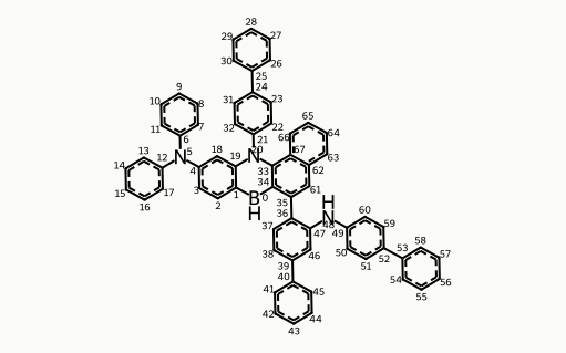 B1c2ccc(N(c3ccccc3)c3ccccc3)cc2N(c2ccc(-c3ccccc3)cc2)c2c1c(-c1ccc(-c3ccccc3)cc1Nc1ccc(-c3ccccc3)cc1)cc1ccccc21